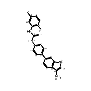 Cc1ccc(F)c(NC(=O)Nc2ccc(-c3ccc4c(N)n[nH]c4c3)cc2)c1